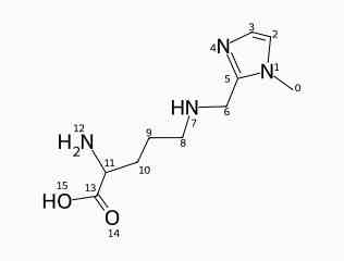 Cn1ccnc1CNCCCC(N)C(=O)O